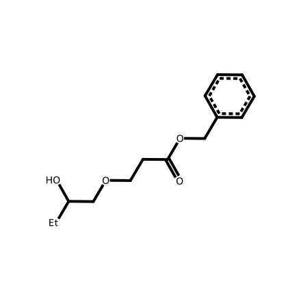 CCC(O)COCCC(=O)OCc1ccccc1